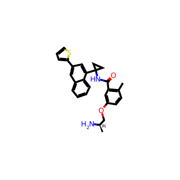 Cc1ccc(OC[C@@H](C)N)cc1C(=O)NC1(c2cc(-c3cccs3)cc3ccccc23)CC1